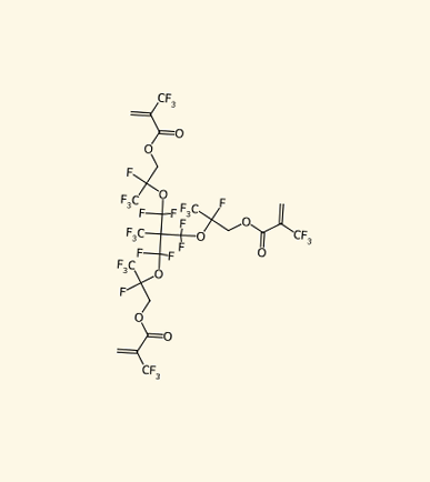 C=C(C(=O)OCC(F)(OC(F)(F)C(C(F)(F)F)(C(F)(F)OC(F)(COC(=O)C(=C)C(F)(F)F)C(F)(F)F)C(F)(F)OC(F)(COC(=O)C(=C)C(F)(F)F)C(F)(F)F)C(F)(F)F)C(F)(F)F